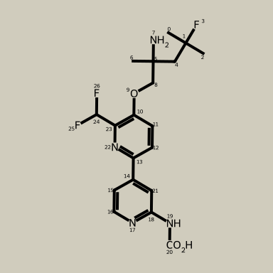 CC(C)(F)CC(C)(N)COc1ccc(-c2ccnc(NC(=O)O)c2)nc1C(F)F